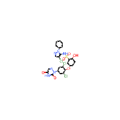 O=c1cnn(-c2cc(Cl)c(Oc3ccc(O)c(S(=O)(=O)Nc4c(Cl)cnn4-c4ccccc4)c3)c(Cl)c2)c(=O)[nH]1